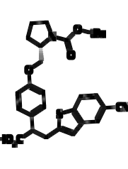 CC(C)(C)OC(=O)N1CCC[C@H]1COc1ccc(C(Cc2cc3cc(C#N)ccc3s2)C(=O)O)cc1